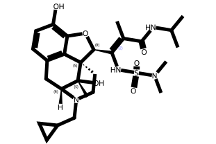 C/C(C(=O)NC(C)C)=C(/NS(=O)(=O)N(C)C)[C@@H]1Oc2c(O)ccc3c2[C@@]12CCN(CC1CC1)[C@H](C3)[C@@]2(C)O